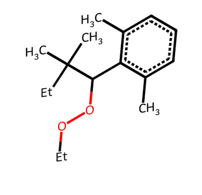 CCOOC(c1c(C)cccc1C)C(C)(C)CC